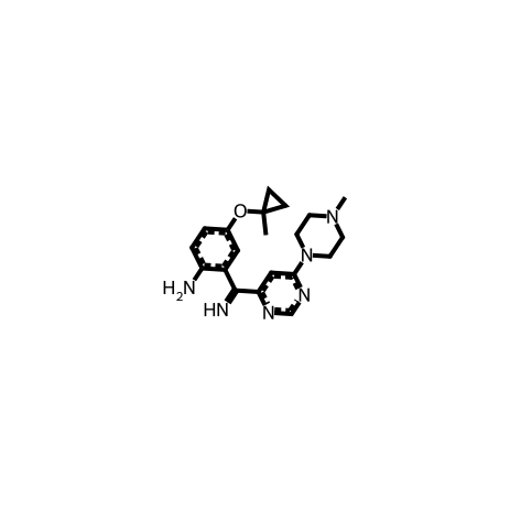 CN1CCN(c2cc(C(=N)c3cc(OC4(C)CC4)ccc3N)ncn2)CC1